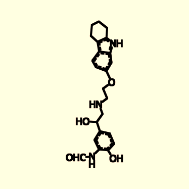 O=CNc1cc(C(O)CNCCOc2ccc3c4c([nH]c3c2)CCCC4)ccc1O